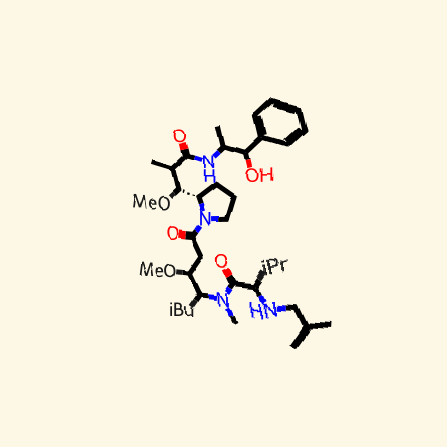 C=C(C)CNC(C(=O)N(C)C(C(C)CC)C(CC(=O)N1CCC[C@H]1C(OC)C(C)C(=O)NC(C)C(O)c1ccccc1)OC)C(C)C